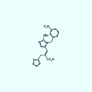 CCCCc1ncc(C=C(Cc2cccs2)C(=O)O)n1Cc1cccc([N+](=O)[O-])c1